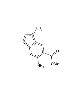 COC(=O)c1cc2c(ccn2C)cc1N